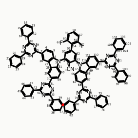 N#Cc1c(-n2c3ccc(-c4nc(-c5ccccc5)nc(-c5ccccc5)n4)cc3c3cc(-c4nc(-c5ccccc5)nc(-c5ccccc5)n4)ccc32)cc(-c2c(F)cccc2F)cc1-n1c2ccc(-c3nc(-c4ccccc4)nc(-c4ccccc4)n3)cc2c2cc(-c3nc(-c4ccccc4)nc(-c4ccccc4)n3)ccc21